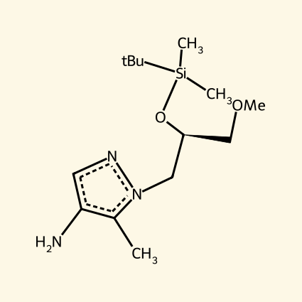 COC[C@@H](Cn1ncc(N)c1C)O[Si](C)(C)C(C)(C)C